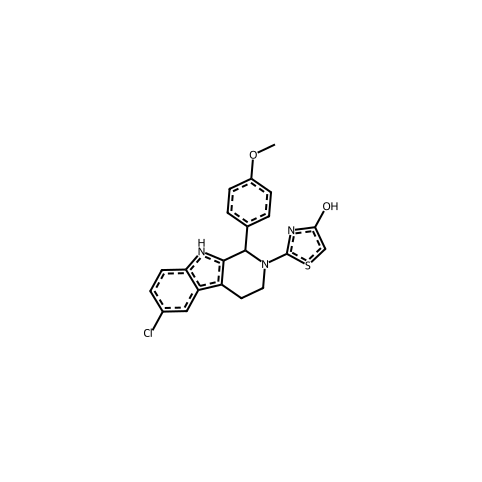 COc1ccc(C2c3[nH]c4ccc(Cl)cc4c3CCN2c2nc(O)cs2)cc1